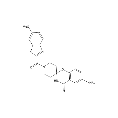 COc1ccc2nc(C(=O)N3CCC4(CC3)NC(=O)c3cc(NC(C)=O)ccc3O4)sc2c1